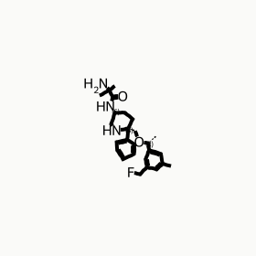 Cc1cc(CF)cc([C@@H](C)OC[C@@]2(c3ccccc3)CC[C@H](NC(=O)C(C)(C)N)CN2)c1